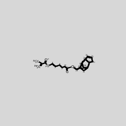 C=C(C)C(=O)OCCCCCC(=O)OCC1CC2CC1C1C=CCC21